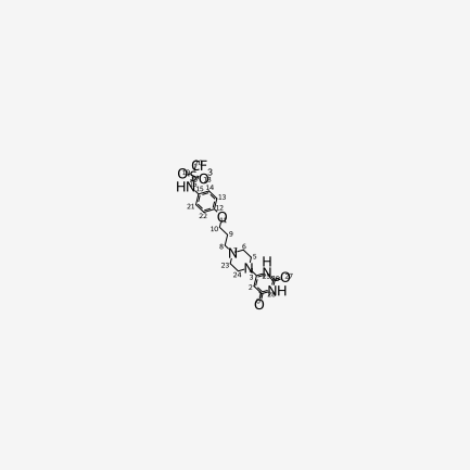 O=c1cc(N2CCN(CCCOc3ccc(NS(=O)(=O)C(F)(F)F)cc3)CC2)[nH]c(=O)[nH]1